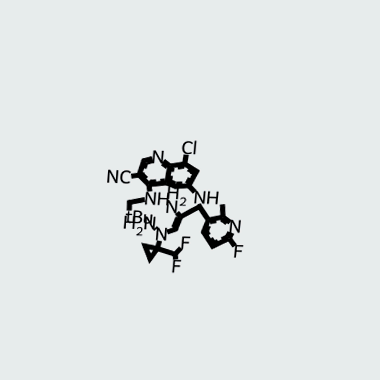 Cc1nc(F)ccc1[C@H](Nc1cc(Cl)c2ncc(C#N)c(NCC(C)(C)C)c2c1)/C(N)=C/N(N)C1(C(F)F)CC1